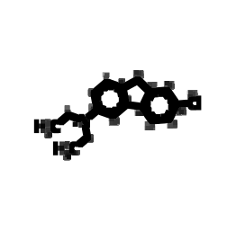 CCN(CC)c1ccc2c(c1)-c1ccc(Cl)cc1C2